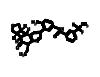 CCN1C(=O)[C@@H]2[C@H]3COC[C@H]3[C@@H]2c2cc(-c3cc(NC(=O)c4ccnc(C(C)(F)F)c4)ccc3C)cnc21